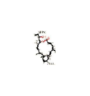 CC(=O)N[C@H]1C=C[C@@H]2/C=C(C)/C=C/[C@@H](C)[C@H]([C@H](C)[C@H](O)[C@@H](C)NC(C)=O)OC(=O)/C=C/C=C(C)\C=C\[C@]2(C)C1